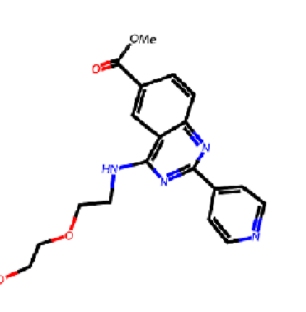 COC(=O)c1ccc2nc(-c3ccncc3)nc(NCCOCCO)c2c1